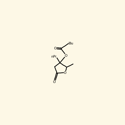 CCCC1(OC(=O)C(C)CC)CC(=O)OC1C